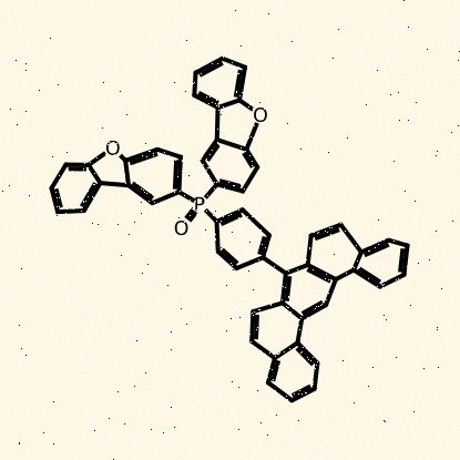 O=P(c1ccc(-c2c3ccc4ccccc4c3cc3c2ccc2ccccc23)cc1)(c1ccc2oc3ccccc3c2c1)c1ccc2oc3ccccc3c2c1